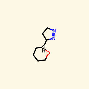 C1CC[SiH](C2CCN=N2)OC1